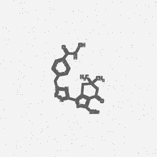 CSc1sc(-c2nnn(Cc3ccc(C(=O)NO)cc3)n2)c2c1C(=O)CC(C)(C)C2